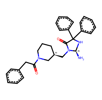 N[C@@H]1NC(c2ccccc2)(c2ccccc2)C(=O)N1C[C@@H]1CCCN(C(=O)Cc2ccccc2)C1